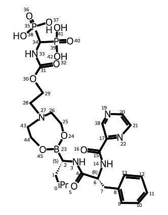 CC(C)C[C@@H](NC(=O)[C@@H](Cc1ccccc1)NC(=O)c1cnccn1)B1OCCN(CCOC(=O)NC(P(=O)(O)O)P(=O)(O)O)CCO1